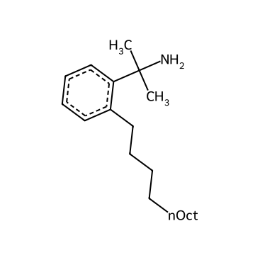 CCCCCCCCCCCCc1ccccc1C(C)(C)N